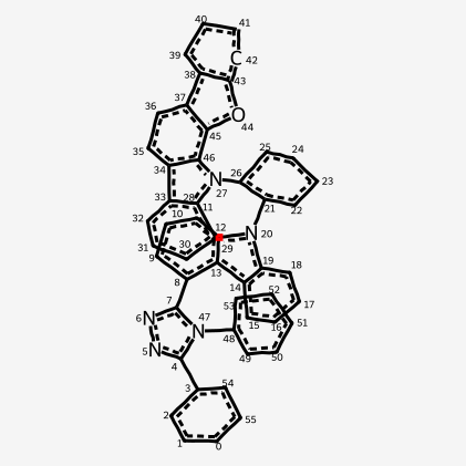 c1ccc(-c2nnc(-c3cccc4c3c3ccccc3n4-c3ccccc3-n3c4ccccc4c4ccc5c6ccccc6oc5c43)n2-c2ccccc2)cc1